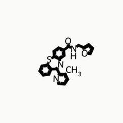 Cc1cccnc1C1=Nc2cc(C(=O)NCc3ccco3)ccc2Sc2ccccc21